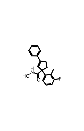 Cc1c(F)cccc1C1(C(=O)NO)C=C(c2ccccc2)CC1